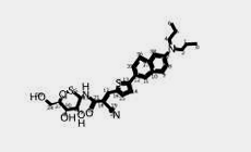 CCCN(CCC)c1ccc2cc(-c3ccc(/C=C(\C#N)C(=O)N[C@H]4SO[C@H](CO)[C@@H](O)[C@@H]4O)s3)ccc2c1